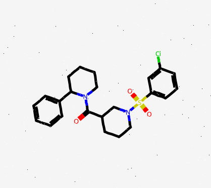 O=C(C1CCCN(S(=O)(=O)c2cccc(Cl)c2)C1)N1CCCCC1c1ccccc1